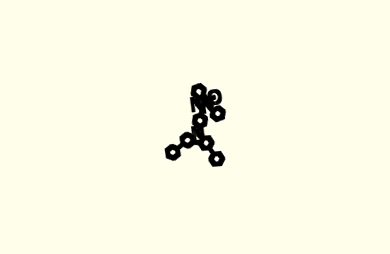 O=c1c2ccccc2nc(-c2ccc(-n3c4ccc(-c5ccccc5)cc4c4cc(-c5ccccc5)ccc43)cc2)n1-c1ccccc1